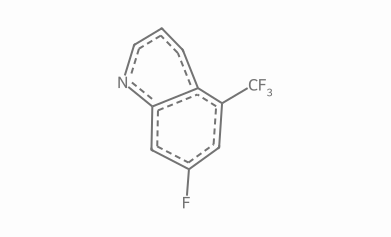 Fc1cc(C(F)(F)F)c2cccnc2c1